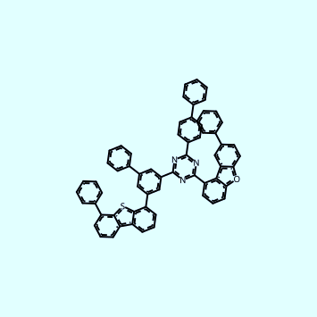 c1ccc(-c2ccc(-c3nc(-c4cc(-c5ccccc5)cc(-c5cccc6c5sc5c(-c7ccccc7)cccc56)c4)nc(-c4cccc5oc6ccc(-c7ccccc7)cc6c45)n3)cc2)cc1